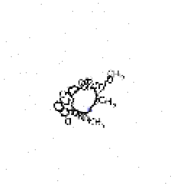 COCCOC[C@H]1C(=O)NS(=O)(=O)c2ccc3c(c2)N(C[C@@H]2CC[C@H]2[C@H](OC)/C=C/C[C@@H]1C)C[C@@]1(CCCc2cc(Cl)ccc21)CO3